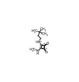 CNc1c(NCCC(C)(C)C)c(=O)c1=O